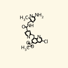 Cc1nc(N)ccc1CNC(=O)c1ccnc(Cc2cc(S(C)(=O)=O)cc3cc(Cl)cnc23)c1